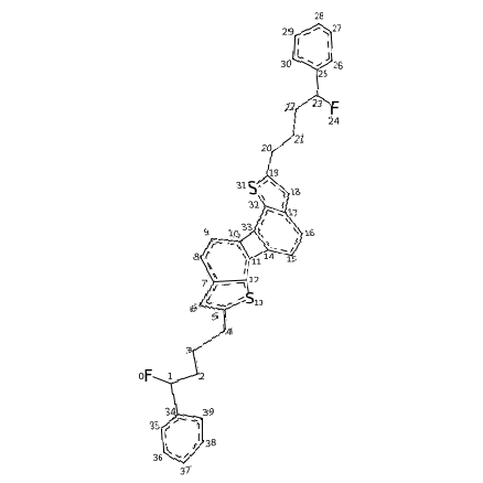 FC(CCCc1cc2ccc3c(c2s1)-c1ccc2cc(CCCC(F)c4ccccc4)sc2c1-3)c1ccccc1